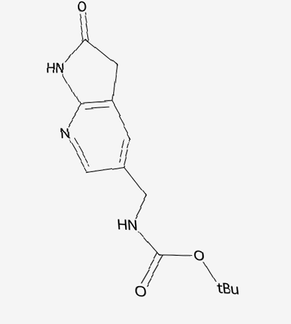 CC(C)(C)OC(=O)NCc1cnc2c(c1)CC(=O)N2